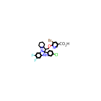 O=C(O)c1cnc(OCC(C2CCCCC2)C2(c3ccc(Cl)cc3)Nc3cc(F)c(F)cc3N2)c(Br)c1